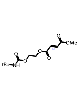 COC(=O)/C=C/C(=O)OCCOC(=O)NC(C)(C)C